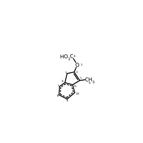 CC1=C(OC(=O)O)Cc2ccccc21